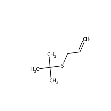 [CH]=CCSC(C)(C)C